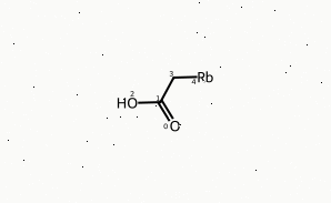 O=C(O)[CH2][Rb]